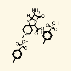 CN1CCC2(CC1)S[C@H]1C(N)C(=O)N1C2C(=O)O.Cc1ccc(S(=O)(=O)O)cc1.Cc1ccc(S(=O)(=O)O)cc1